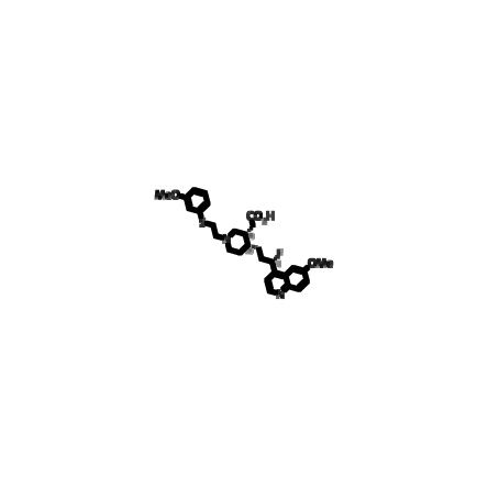 COc1cccc(SCCN2CC[C@@H](CC[C@H](F)c3ccnc4ccc(OC)cc34)[C@@H](CC(=O)O)C2)c1